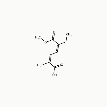 CCC(=CC=C(C)C(=O)O)C(=O)OC